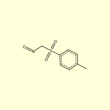 Cc1ccc(S(=O)(=O)CN=O)cc1